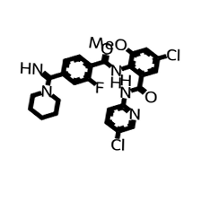 COc1cc(Cl)cc(C(=O)Nc2ccc(Cl)cn2)c1NC(=O)c1ccc(C(=N)N2CCCCC2)cc1F